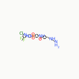 CC(F)(F)c1cc(Cl)nc(N2CCN(S(=O)(=O)c3ccc(NC(=O)c4ccc(CCNCCCN)cc4)cc3)CC2)c1